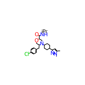 Cc1cc(C2CCC(N3CC(C(=O)NC(C)C)OCC3Cc3ccc(Cl)cc3)CC2)nn1C